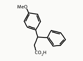 COc1ccc(C(CC(=O)O)c2ccccc2)cc1